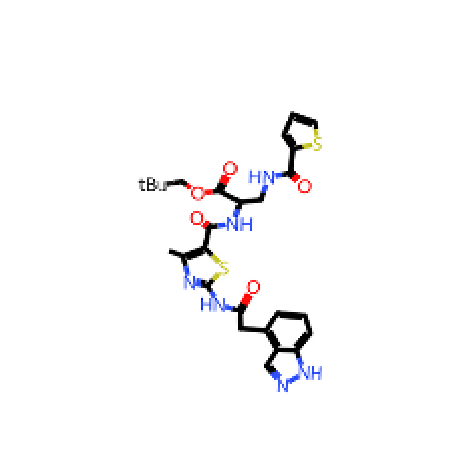 Cc1nc(NC(=O)Cc2cccc3[nH]ncc23)sc1C(=O)NC(CNC(=O)c1cccs1)C(=O)OCC(C)(C)C